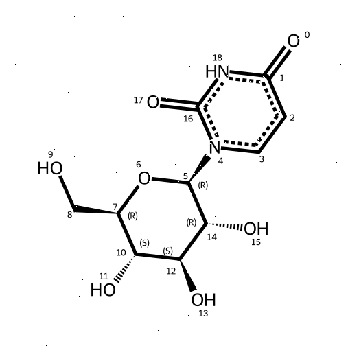 O=c1ccn([C@@H]2O[C@H](CO)[C@@H](O)[C@H](O)[C@H]2O)c(=O)[nH]1